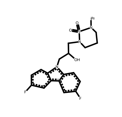 CC(C)N1CCCN(CC(O)Cn2c3ccc(F)cc3c3cc(F)ccc32)S1(=O)=O